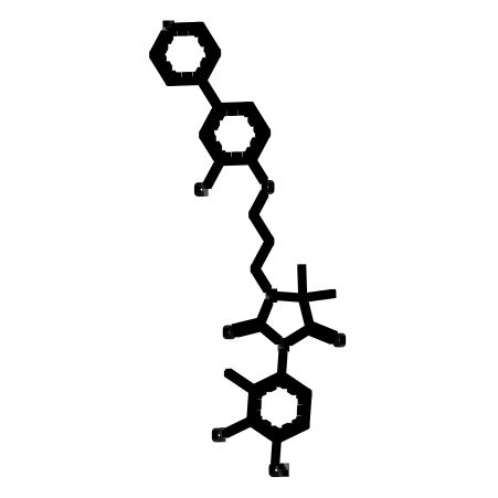 Cc1c(N2C(=O)N(CCCOc3ccc(-c4ccncc4)cc3Cl)C(C)(C)C2=O)ccc(C#N)c1Cl